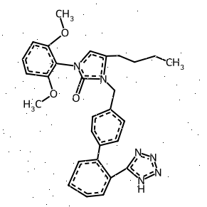 CCCCc1cn(-c2c(OC)cccc2OC)c(=O)n1Cc1ccc(-c2ccccc2-c2nnn[nH]2)cc1